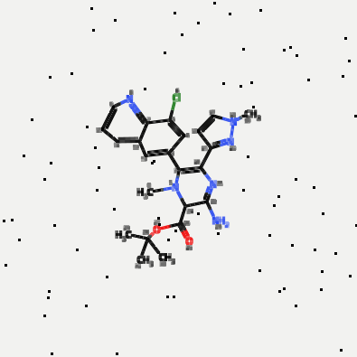 CN1C(c2cc(Cl)c3ncccc3c2)=C(c2ccn(C)n2)N=C(N)C1C(=O)OC(C)(C)C